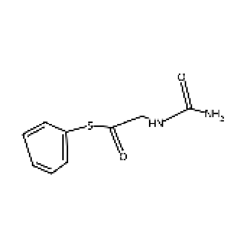 NC(=O)NCC(=O)Sc1ccccc1